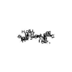 CN[C@@H](C)C(=O)N[C@@H](CCC(=O)NCc1ccc(CNC(=O)CC[C@H](NC(=O)[C@H](C)NC)C(=O)N2CCC[C@H]2CN(CCc2ccccc2)C(=O)C(F)(F)F)cc1)C(=O)N1CCC[C@H]1CN(CCc1ccccc1)C(=O)C(F)(F)F